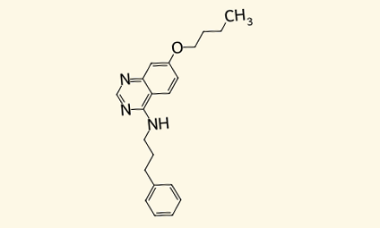 CCCCOc1ccc2c(NCCCc3ccccc3)ncnc2c1